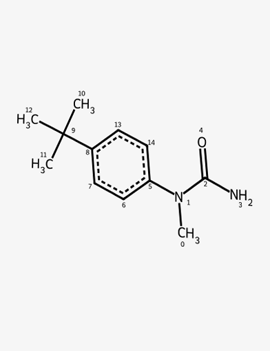 CN(C(N)=O)c1ccc(C(C)(C)C)cc1